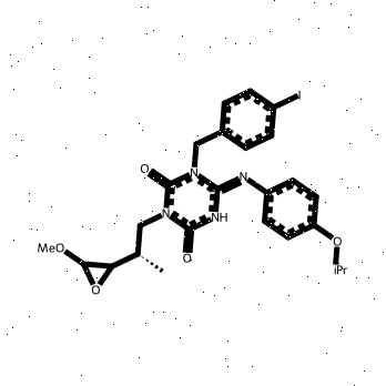 COC1OC1[C@@H](C)Cn1c(=O)[nH]/c(=N\c2ccc(OC(C)C)cc2)n(Cc2ccc(I)cc2)c1=O